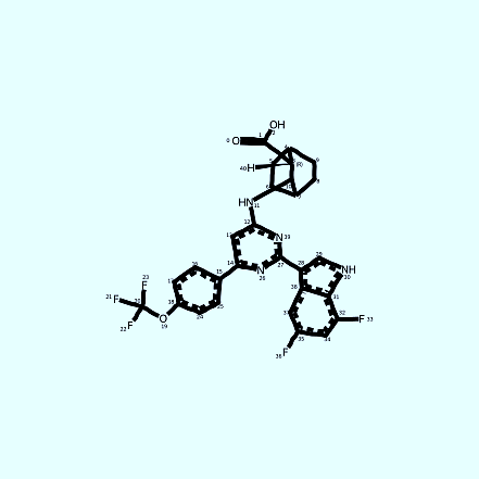 O=C(O)[C@@H]1C2CCC(CC2)C1Nc1cc(-c2ccc(OC(F)(F)F)cc2)nc(-c2c[nH]c3c(F)cc(F)cc23)n1